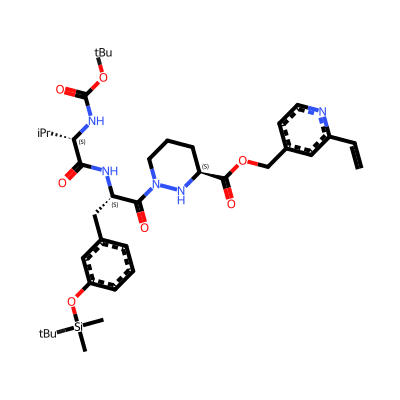 C=Cc1cc(COC(=O)[C@@H]2CCCN(C(=O)[C@H](Cc3cccc(O[Si](C)(C)C(C)(C)C)c3)NC(=O)[C@@H](NC(=O)OC(C)(C)C)C(C)C)N2)ccn1